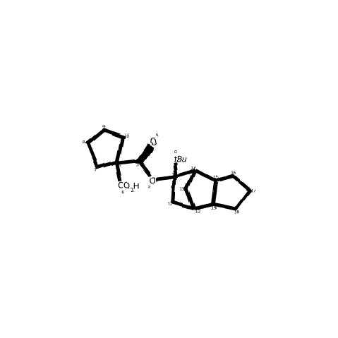 CC(C)(C)C1(OC(=O)C2(C(=O)O)CCCC2)CC2CC1C1CCCC21